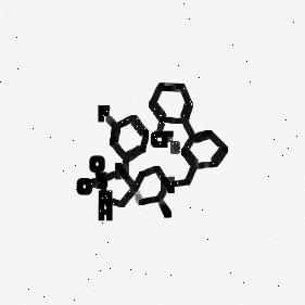 C[C@H]1C[C@]2(CCN1Cc1cccc(-c3ccccc3C(F)(F)F)c1)CNS(=O)(=O)N2c1cccc(F)c1